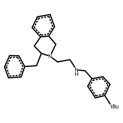 CC(C)(C)c1ccc(CNCCN2Cc3ccccc3CC2Cc2ccccc2)cc1